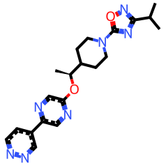 CC(C)c1noc(N2CCC([C@H](C)Oc3cnc(-c4ccnnc4)cn3)CC2)n1